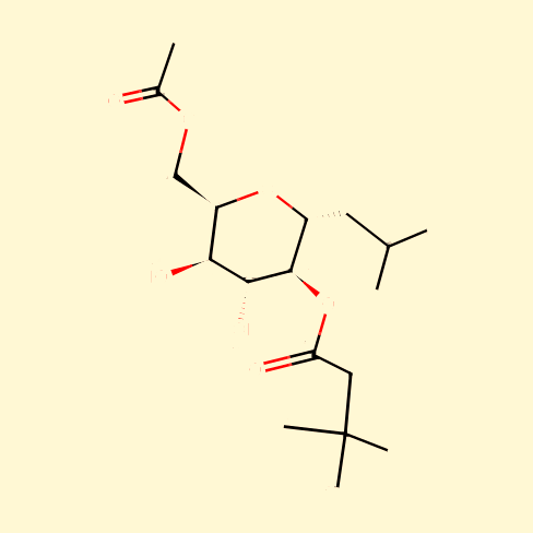 CC(=O)OC[C@H]1O[C@H](CC(C)C)[C@@H](OC(=O)CC(C)(C)C)[C@H](O)[C@H]1O